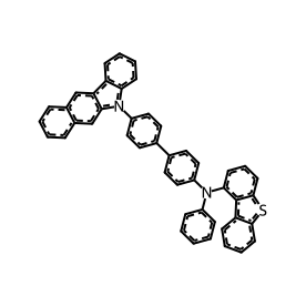 c1ccc(N(c2ccc(-c3ccc(-n4c5ccccc5c5cc6ccccc6cc54)cc3)cc2)c2cccc3sc4ccccc4c23)cc1